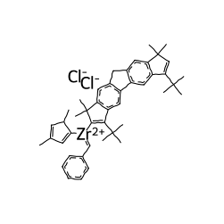 CC1=CC(C)[C]([Zr+2](=[CH]c2ccccc2)[C]2=C(C(C)(C)C)c3cc4c(cc3C2(C)C)Cc2cc3c(cc2-4)C(C(C)(C)C)=CC3(C)C)=C1.[Cl-].[Cl-]